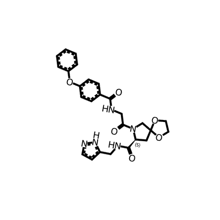 O=C(NCC(=O)N1CC2(C[C@H]1C(=O)NCc1ccn[nH]1)OCCO2)c1ccc(Oc2ccccc2)cc1